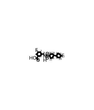 O=C(O)c1cc(F)cc(CNS(=O)(=O)c2ccc(-c3ccc(F)cc3)cc2)c1